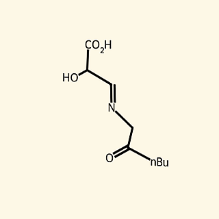 CCCCC(=O)CN=CC(O)C(=O)O